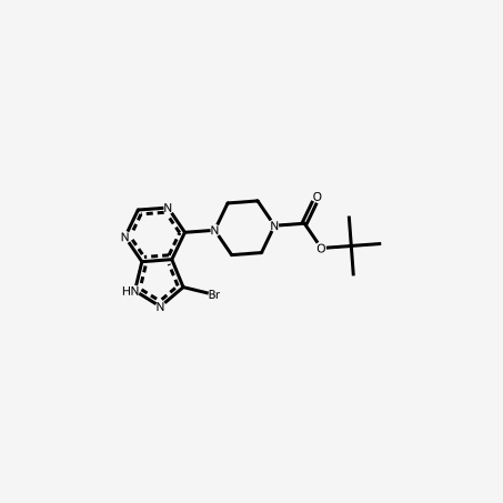 CC(C)(C)OC(=O)N1CCN(c2ncnc3[nH]nc(Br)c23)CC1